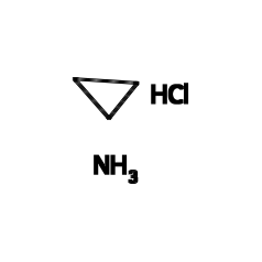 C1CC1.Cl.N